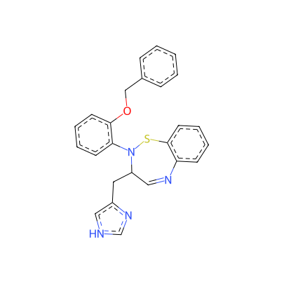 C1=Nc2ccccc2SN(c2ccccc2OCc2ccccc2)C1Cc1c[nH]cn1